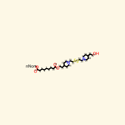 CCCCCCCCCOC(=O)CCCCCCCC(=O)OCCC1CCN(CCSSCCN2CCC(CCO)CC2)CC1